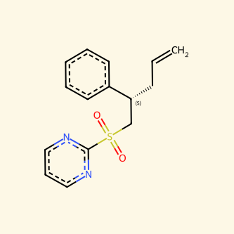 C=CC[C@H](CS(=O)(=O)c1ncccn1)c1ccccc1